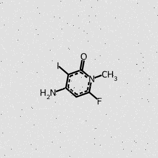 Cn1c(F)cc(N)c(I)c1=O